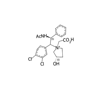 CC(=O)N[C@@H](c1ccccc1)C(c1ccc(Cl)c(Cl)c1)[N+]1(CC(=O)O)CC[C@H](O)C1